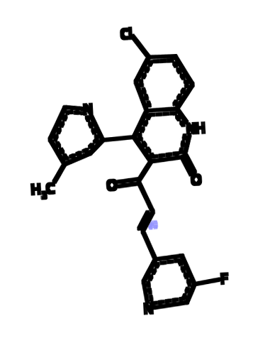 Cc1ccnc(-c2c(C(=O)/C=C/c3cncc(F)c3)c(=O)[nH]c3ccc(Cl)cc23)c1